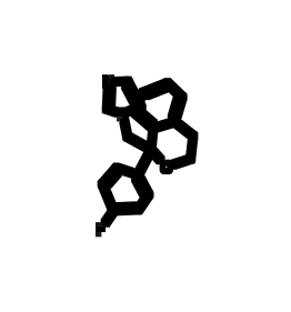 Fc1ccc(C2(Cn3ccnc3)OCCc3ccccc32)cc1